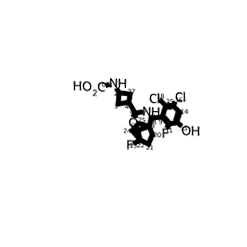 O=C(O)NC1CC(C(=O)N[C@H](c2c(F)c(O)cc(Cl)c2Cl)C23CCC(F)(CC2)C3)C1